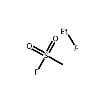 CCF.CS(=O)(=O)F